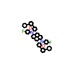 Fc1ccc(N(c2ccc3ccc4c(N(c5ccc(F)cc5)c5cccc6c5oc5c(C7CCCCC7)cccc56)ccc5ccc2c3c54)c2cccc3c2oc2c(C4CCCCC4)cccc23)cc1